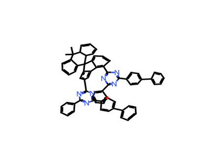 CC1(C)c2ccccc2C2(c3ccc(-c4nc(-c5ccccc5)nc(-c5ccc(-c6ccccc6)cc5)n4)cc3-c3c(-c4nc(-c5ccccc5)nc(-c5ccc(-c6ccccc6)cc5)n4)cccc32)C2C=CC=CC21